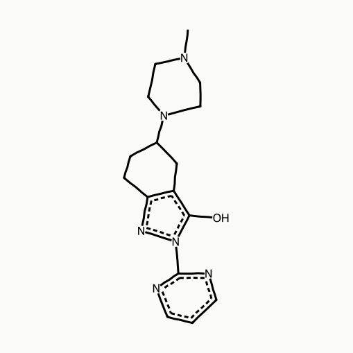 CN1CCN(C2CCc3nn(-c4ncccn4)c(O)c3C2)CC1